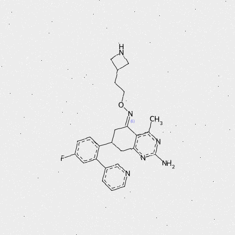 Cc1nc(N)nc2c1/C(=N/OCCC1CNC1)CC(c1ccc(F)cc1-c1cccnc1)C2